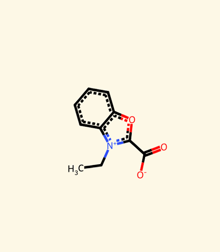 CC[n+]1c(C(=O)[O-])oc2ccccc21